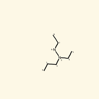 CCCN(CC)[N]CC